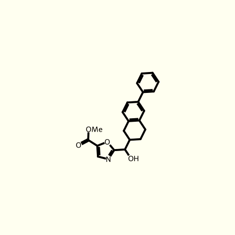 COC(=O)c1cnc(C(O)C2CCc3cc(-c4ccccc4)ccc3C2)o1